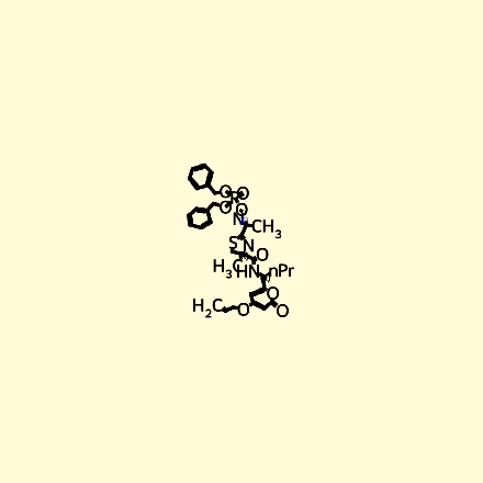 C=CCOc1cc([C@@H](CCC)NC(=O)[C@]2(C)CSC(/C(C)=N/OP(=O)(OCc3ccccc3)OCc3ccccc3)=N2)oc(=O)c1